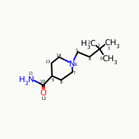 CC(C)(C)CCN1CCC(C(N)=O)CC1